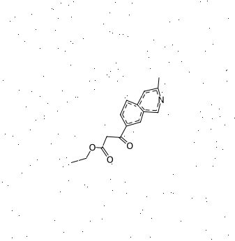 CCOC(=O)CC(=O)c1ccc2cc(C)ncc2c1